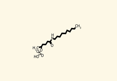 CCCCCCCCCCNC(=O)CCCC(C)OS(=O)(=O)O